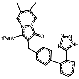 CCCCCc1c(Cc2ccc(-c3ccccc3-c3nnn[nH]3)cc2)c(=O)n2cc(C)c(C)cn12